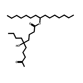 CCCCCCCC(CCCCCCC)OC(=O)CCCC(O)(CCCC)CCCC(C)=O